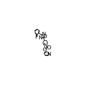 O=C(Oc1cccnc1)N1CCC(c2nc(-c3ccccc3F)no2)CC1